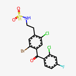 O=C(c1ccc(F)cc1Cl)c1cc(Cl)c(CCN[SH](=O)=O)cc1Br